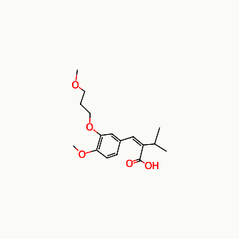 COCCCOc1cc(/C=C(\C(=O)O)C(C)C)ccc1OC